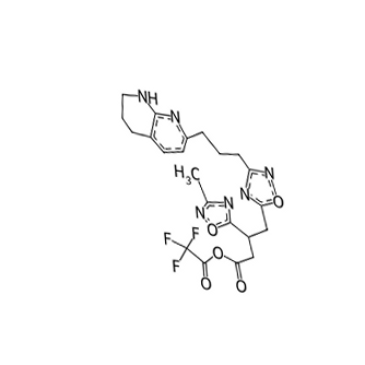 Cc1noc(C(CC(=O)OC(=O)C(F)(F)F)Cc2nc(CCCc3ccc4c(n3)NCCC4)no2)n1